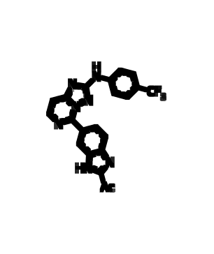 CC(=O)c1nc2ccc(-c3nccc4nc(Nc5ccc(C(F)(F)F)cc5)nn34)cc2[nH]1